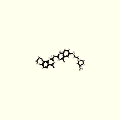 Cc1nc(Nc2nc(C)c3ccc4c(c3n2)OCCO4)nc2ccc(OCCN3CCC(O)C3)cc12